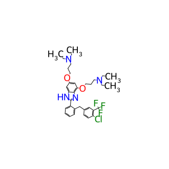 CCN(CC)CCCOc1cc(OCCCN(CC)CC)c2nc(-c3ccccc3Cc3ccc(Cl)c(C(F)(F)F)c3)[nH]c2c1